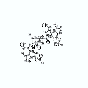 CC(=O)Oc1cc2c(c3c(C)csc13)[C@H](CCl)CN2C(=O)C1(C)C2C3C(C)C4C1C2C34C(=O)N1C[C@@H](CCl)c2c1cc(OC(C)=O)c1scc(C)c21